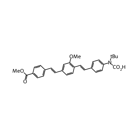 COC(=O)c1ccc(C=Cc2ccc(C=Cc3ccc(N(C(=O)O)C(C)(C)C)cc3)c(OC)c2)cc1